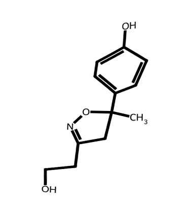 CC1(c2ccc(O)cc2)CC(CCO)=NO1